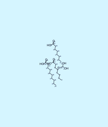 CCC(O)O.CCCCCCCC(=O)O.CCCCCCCC(=O)O.CCCCCCCCCC(=O)O